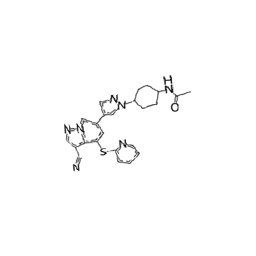 CC(=O)NC1CCC(n2cc(-c3cc(Sc4ccccn4)c4c(C#N)cnn4c3)cn2)CC1